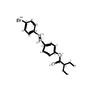 CCC(CC)C(=O)Oc1ccc(/N=N/c2ccc(Br)cc2)cc1